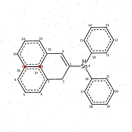 C(=[C](Cc1ccccc1)[SnH]([c]1ccccc1)[c]1ccccc1)c1ccccc1